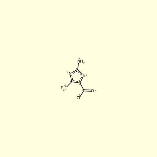 Nc1nc(C(F)(F)F)c(C(=O)Cl)s1